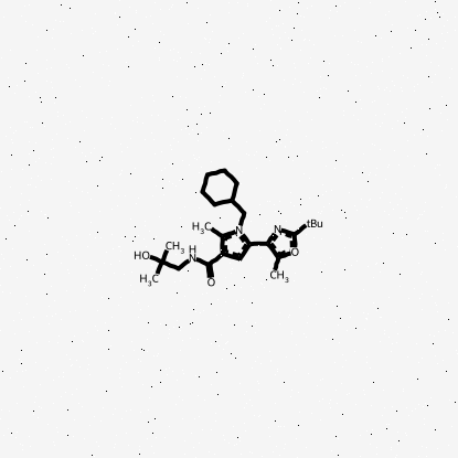 Cc1oc(C(C)(C)C)nc1-c1cc(C(=O)NCC(C)(C)O)c(C)n1CC1CCCCC1